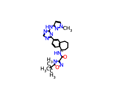 Cn1ccc(Nc2ncnc(-c3ccc4c(c3)CCCC[C@@H]4NC(=O)c3noc(C(C)(C)C)n3)n2)n1